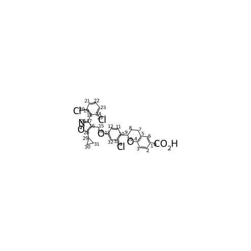 O=C(O)c1ccc2c(c1)CCC(c1ccc(OCc3c(-c4c(Cl)cccc4Cl)noc3C3CC3)cc1Cl)O2